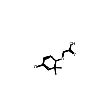 CC1(C)C=C(Cl)C=CC1OCC(=O)O